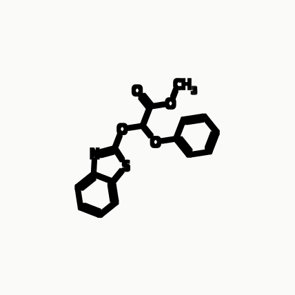 COC(=O)C(Oc1ccccc1)Oc1nc2ccccc2s1